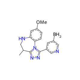 Bc1cncc(-c2nnc3n2-c2ccc(OC)cc2NCC3C)c1